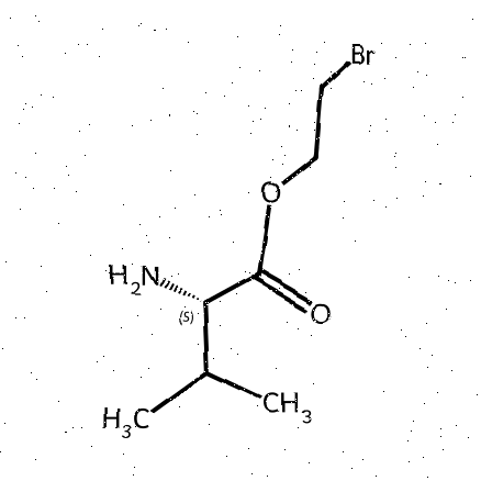 CC(C)[C@H](N)C(=O)OCCBr